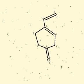 C=CC1=CCC(=O)CC1